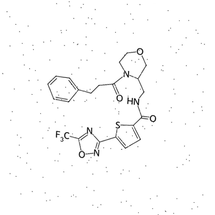 O=C(NCC1COCCN1C(=O)CCc1ccccc1)c1ccc(-c2noc(C(F)(F)F)n2)s1